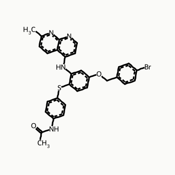 CC(=O)Nc1ccc(Sc2ccc(OCc3ccc(Br)cc3)cc2Nc2ccnc3nc(C)ccc23)cc1